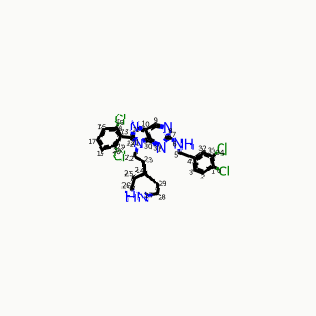 Clc1ccc(CNc2ncc3nc(-c4c(Cl)cccc4Cl)n(CCC4CCNCC4)c3n2)cc1Cl